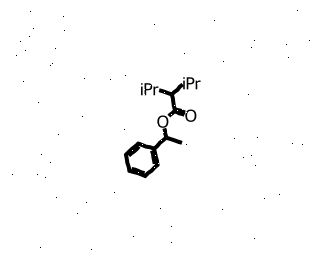 CC(OC(=O)C(C(C)C)C(C)C)c1ccccc1